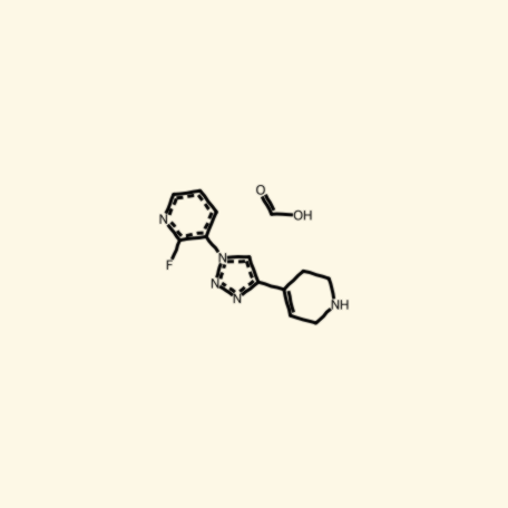 Fc1ncccc1-n1cc(C2=CCNCC2)nn1.O=CO